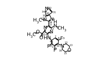 CNc1nc(Nc2cc(F)c(N3CCOCC3)c(F)c2F)c(C(=O)OC)nc1-c1nc2ccncc2n1C